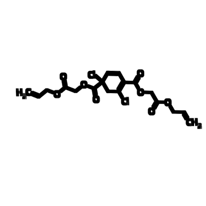 C=CCOC(=O)COC(=O)C1=C(Cl)CC(Cl)(C(=O)OCC(=O)OCC=C)C=C1